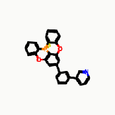 S=P12c3ccccc3Oc3cc(-c4cccc(-c5cccnc5)c4)cc(c31)Oc1ccccc12